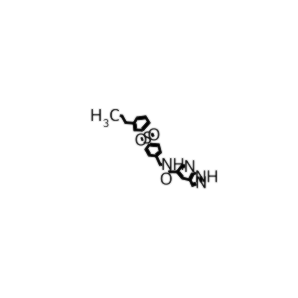 CCCc1cccc(S(=O)(=O)c2ccc(CNC(=O)c3cnc4[nH]ncc4c3)cc2)c1